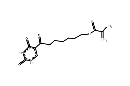 C=C(C)C(=O)OCCCCCCC(=O)c1c[nH]c(=S)[nH]c1=O